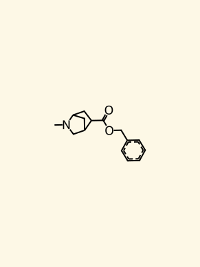 CN1CC2CC1CC2C(=O)OCc1ccccc1